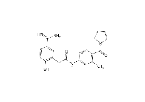 Cc1cc(NC(=O)Cc2cc(C(=N)N)ccc2O)ccc1C(=O)N1CCCC1